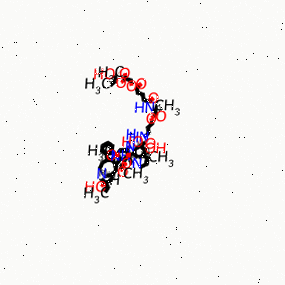 CCC(CO)OC(COC(=O)CCCC(=O)N[C@H](C)C(=O)OCCCNC(=O)[C@]1(O)C2Nc3cc(OC)c([C@@]4(C(=O)OC)C[C@@H]5C[N@](CCc6c4[nH]c4ccccc64)CC(O)(CC)C5)cc3[C@@]23CCN2CC=C[C@](CC)(C23)[C@H]1O)OC